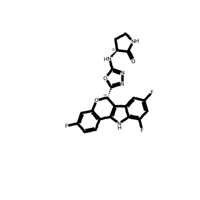 O=C1NCC[C@@H]1Nc1nnc([C@H]2Oc3cc(F)ccc3-c3[nH]c4c(F)cc(F)cc4c32)o1